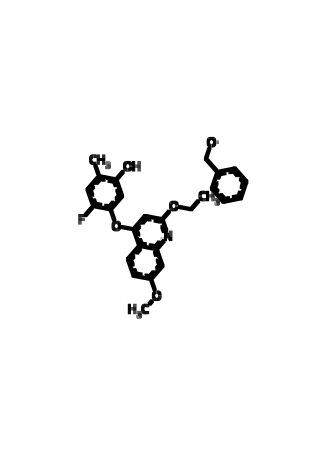 CCOc1cc(Oc2cc(O)c(C)cc2F)c2ccc(OC)cc2n1.[O]Cc1ccccc1